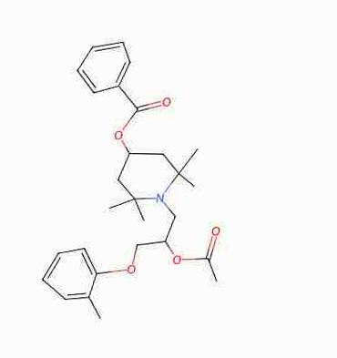 CC(=O)OC(COc1ccccc1C)CN1C(C)(C)CC(OC(=O)c2ccccc2)CC1(C)C